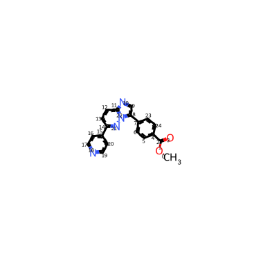 COC(=O)c1ccc(-c2cnc3ccc(-c4ccncc4)nn23)cc1